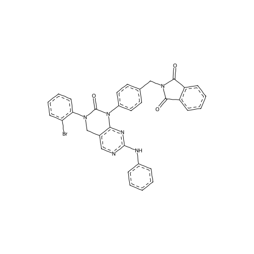 O=C1c2ccccc2C(=O)N1Cc1ccc(N2C(=O)N(c3ccccc3Br)Cc3cnc(Nc4ccccc4)nc32)cc1